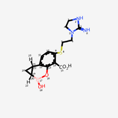 N=C1NCCN1CCSc1ccc2c(c1C(=O)O)OB(O)[C@@H]1C[C@H]21